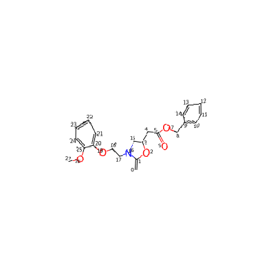 C=C1OC(CC(=O)OCc2ccccc2)CN1CCOc1ccccc1OC